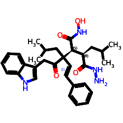 CC(C)C[C@@H](C(=O)NN)[C@H](C(=O)NO)C(/C=C/c1ccccc1)(CC(C)C)C(=O)Cc1c[nH]c2ccccc12